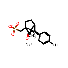 CC1=CCC(=C2C(=O)C3(CS(=O)(=O)[O-])CCC2C3(C)C)C=C1.[Na+]